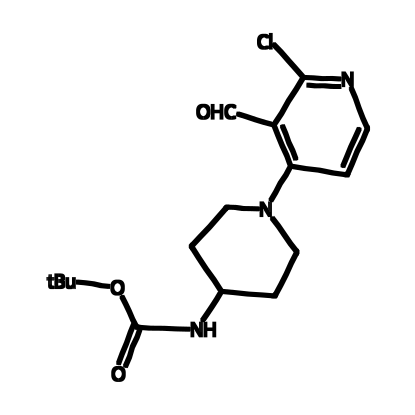 CC(C)(C)OC(=O)NC1CCN(c2ccnc(Cl)c2C=O)CC1